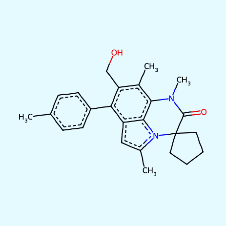 Cc1ccc(-c2c(CO)c(C)c3c4c2cc(C)n4C2(CCCC2)C(=O)N3C)cc1